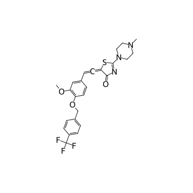 COc1cc(C=C=C2SC(N3CCN(C)CC3)=NC2=O)ccc1OCc1ccc(C(F)(F)F)cc1